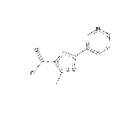 Cc1oc(-c2cccnc2)cc1C(=O)Cl